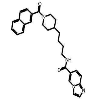 O=C(NCCCCC1CCN(C(=O)c2ccc3ccccc3c2)CC1)c1ccc2nccn2c1